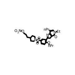 CCCOc1ccc(S(=O)(=O)N2CCC(CCCO[N+](=O)[O-])CC2)cc1C1=Nc2c(CCC)cn(CC)c(=O)c2C1